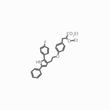 CCOC(=O)C(Cc1ccc(OCCc2cc(-c3ccccc3)[nH]c2-c2ccc(F)cc2)cc1)OCC